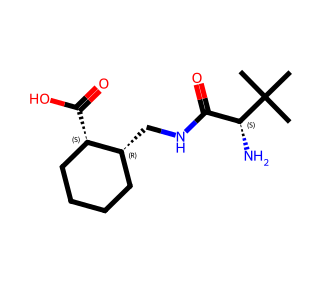 CC(C)(C)[C@H](N)C(=O)NC[C@@H]1CCCC[C@@H]1C(=O)O